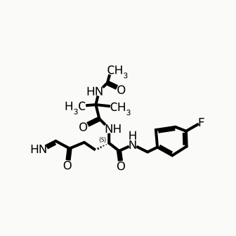 CC(=O)NC(C)(C)C(=O)N[C@@H](CCC(=O)C=N)C(=O)NCc1ccc(F)cc1